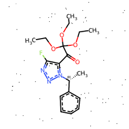 CCOC(OCC)(OCC)C(=O)c1c(F)nnn1[C@H](C)c1ccccc1